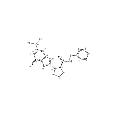 O=C(NCc1ccccc1)[C@H]1CCCN1c1nc2c(=O)[nH]c(C(F)F)nc2s1